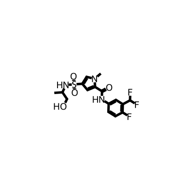 CC(CO)NS(=O)(=O)c1cc(C(=O)Nc2ccc(F)c(C(F)F)c2)n(C)c1